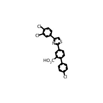 O=C(O)c1cc(-c2nc(-c3ccc(Cl)c(Cl)c3)cs2)ccc1-c1ccc(Cl)cc1